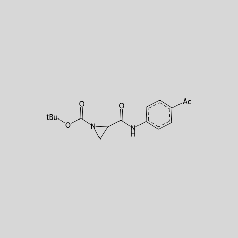 CC(=O)c1ccc(NC(=O)C2CN2C(=O)OC(C)(C)C)cc1